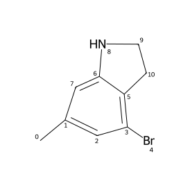 Cc1cc(Br)c2c(c1)NCC2